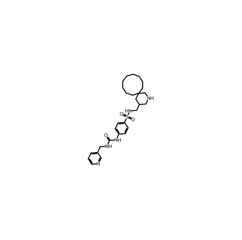 O=C(NCc1cccnc1)Nc1ccc(S(=O)(=O)NCC2CNCC3(CCCCCCCCC3)C2)cc1